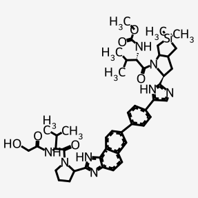 COC(=O)N[C@H](C(=O)N1C2C[Si](C)(C)CC2C[C@H]1c1ncc(-c2ccc(-c3ccc4c(ccc5nc(C6CCCN6C(=O)[C@@H](NC(=O)CO)C(C)C)[nH]c54)c3)cc2)[nH]1)C(C)C